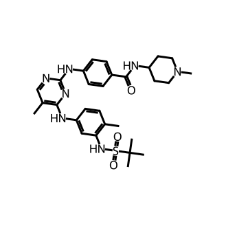 Cc1ccc(Nc2nc(Nc3ccc(C(=O)NC4CCN(C)CC4)cc3)ncc2C)cc1NS(=O)(=O)C(C)(C)C